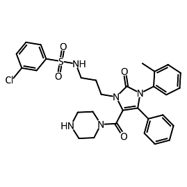 Cc1ccccc1-n1c(-c2ccccc2)c(C(=O)N2CCNCC2)n(CCCNS(=O)(=O)c2cccc(Cl)c2)c1=O